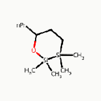 CCCC1CC[Si](C)(C)[Si](C)(C)O1